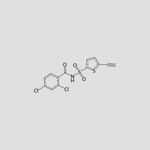 C#Cc1ccc(S(=O)(=O)NC(=O)c2ccc(Cl)cc2Cl)s1